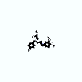 COC(=O)CN(C/C=C/c1ccc(OC)c(OC)c1)Cc1ccc(F)cc1